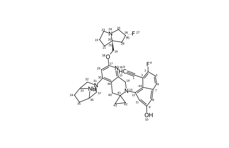 C#Cc1c(F)ccc2cc(O)cc(N3Cc4nc(OC[C@@]56CCCN5C[C@H](F)C6)cc(N5CC6CCC(C5)N6)c4CC34CC4)c12